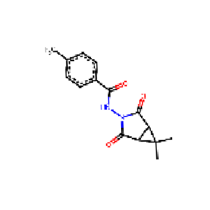 CC1(C)C2C(=O)N(NC(=O)c3ccc(C(F)(F)F)cc3)C(=O)C21